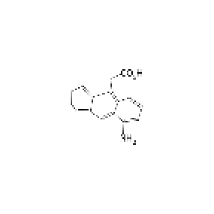 Nc1cccc2c(CC(=O)O)c3ccccc3cc12